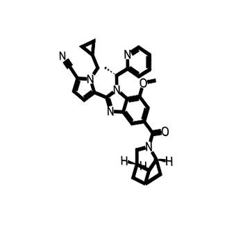 COc1cc(C(=O)N2C[C@H]3CC4C[C@@H]2[C@H]43)cc2nc(-c3ccc(C#N)n3CC3CC3)n([C@H](C)c3ccccn3)c12